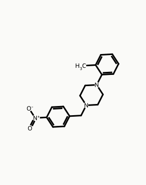 Cc1ccccc1N1CCN(Cc2ccc([N+](=O)[O-])cc2)CC1